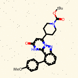 COc1ccc(-c2cccc3nn4c(C5CCN(C(=O)OC(C)(C)C)CC5)cc(=O)[nH]c4c23)cc1